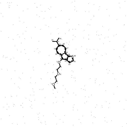 COCCOCCOc1c2ccc(C(C)C)ccc-2c2sccc12